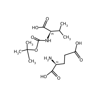 CC(C)[C@@H](NC(=O)OC(C)(C)C)C(=O)O.N[C@@H](CCC(=O)O)C(=O)O